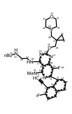 C#Cc1c(F)ccc2cccc(-c3nc(NC)c4c(NCCNCCCC)nc(OCC5(CN6CCOCC6)CC5)nc4c3F)c12